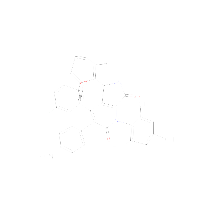 Cc1cc(C)c(-n2c3c(c(-c4cc(F)ccc4O)c(-c4ccc([N+](=O)[O-])cc4)c2=O)C(c2c(C)cccc2C)NC3=O)c(C)c1